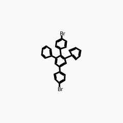 Brc1ccc(-c2cc(-c3ccccc3)c(-c3ccc(Br)cc3)c(-c3ccccc3)c2)cc1